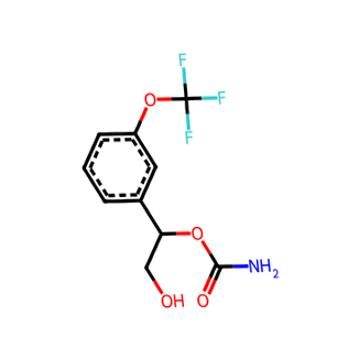 NC(=O)OC(CO)c1cccc(OC(F)(F)F)c1